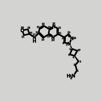 NCCC[C@H]1C[C@H](n2cc(-c3cnc4ccc(NC5COC5)cc4n3)cn2)C1